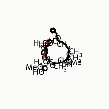 CO[C@@H]1C[C@H](CC(C)[C@@H]2CC(=O)[C@H](C)/C=C(\C)[C@@H](O)[C@@H](OC)C(=O)[C@H](C)C[C@H](C)/C=C/C=C/C=C(\C)C(OCCc3ccccc3)C[C@@H]3CC[C@@H](C)[C@@](O)(O3)C(=O)C(=O)N3CCCC[C@H]3C(=O)O2)CC[C@H]1O